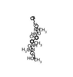 Cc1c(NC(=O)c2nc3c(n2C)CCN(C[C@@H](C)O)C3)cccc1-c1cccc(NC(=O)c2nc3c(n2C)CCN(CCC24CCC(CC2)C4)C3)c1Cl